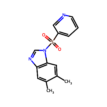 Cc1cc2ncn(S(=O)(=O)c3cccnc3)c2cc1C